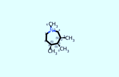 C[C@@H]1[C@H](C)CN(C)CC[C@@H]1C